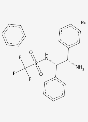 N[C@@H](c1ccccc1)[C@@H](NS(=O)(=O)C(F)(F)F)c1ccccc1.[Ru].c1ccccc1